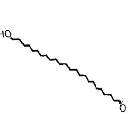 O=[C]CCCCCCCCCCCCCCCCCCCCCCCO